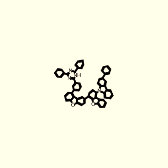 c1ccc(C2=NC(c3ccccc3)NC(c3cccc(-c4cccc5oc6ccc(-c7ccc(-n8c9ccccc9c9cc(-c%10ccccc%10)ccc98)c8c7oc7ccccc78)cc6c45)c3)=N2)cc1